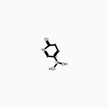 O=C1CC=C(B(O)O)C=N1